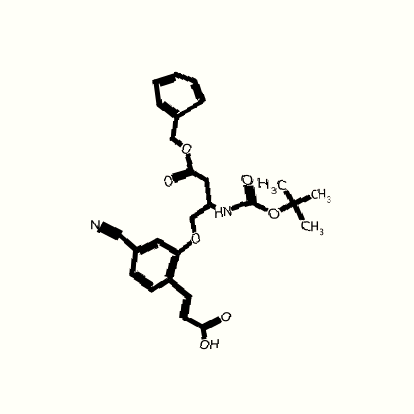 CC(C)(C)OC(=O)NC(COc1cc(C#N)ccc1C=CC(=O)O)CC(=O)OCc1ccccc1